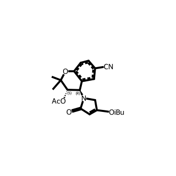 CC(=O)O[C@H]1[C@H](N2CC(OCC(C)C)=CC2=O)c2cc(C#N)ccc2OC1(C)C